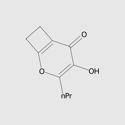 CCCc1oc2c(c(=O)c1O)CC2